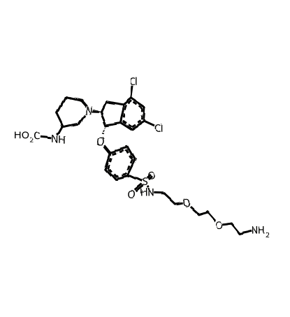 NCCOCCOCCNS(=O)(=O)c1ccc(O[C@H]2c3cc(Cl)cc(Cl)c3C[C@@H]2N2CCCC(NC(=O)O)C2)cc1